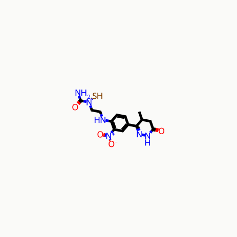 CC1CC(=O)NN=C1c1ccc(NCCN(S)C(N)=O)c([N+](=O)[O-])c1